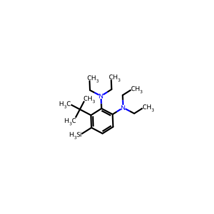 CCN(CC)c1ccc([SiH3])c(C(C)(C)C)c1N(CC)CC